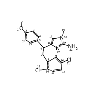 COc1ccc(C(Cc2cc(Cl)ccc2Cl)c2cn(C)c(N)n2)cc1